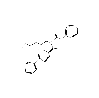 C=C(/C=C\C(N)=C(/C)N(CCCCCC)C(=O)NC1=CN=CCC=N1)c1cccnc1